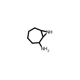 NC1CCCCC2NC12